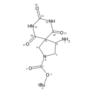 CC(C)(C)OC(=O)N1CC(N)C2(C1)C(=O)NC(=O)NC2=O